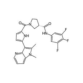 Cc1c(-c2ccc(C(=O)N3CC[C@H](C(=O)Nc4cc(F)c(F)c(F)c4)C3)[nH]2)c2ncccc2n1C